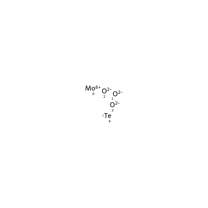 [Mo+6].[O-2].[O-2].[O-2].[Te]